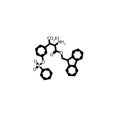 CCOC(=O)C(c1cccc(OS(=O)(=O)c2ccccc2)c1)C(N)C(=O)OCC1c2ccccc2-c2ccccc21